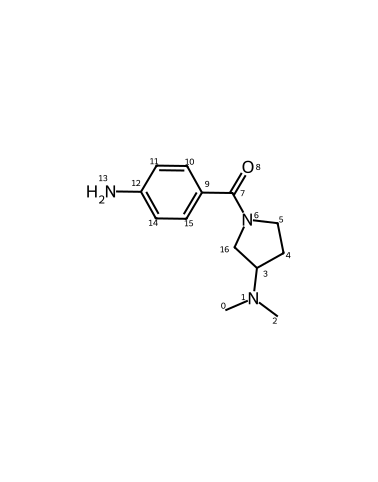 CN(C)C1CCN(C(=O)c2ccc(N)cc2)C1